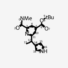 CNC(=O)c1cc(C(=O)OC(C)(C)C)cc(C(C)c2cc[nH]c2)n1